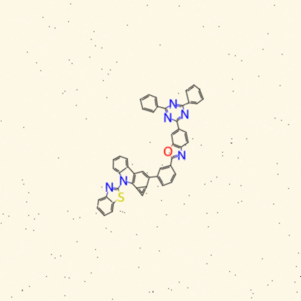 C1=c2c(-c3cccc(-c4nc5ccc(-c6nc(-c7ccccc7)nc(-c7ccccc7)n6)cc5o4)c3)cc3c4ccccc4n(-c4nc5ccccc5s4)c3c2=1